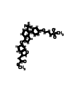 COC(=O)CC1COc2cc(OC3CCc4c3ccc(C(F)(F)F)c4-c3ccc(OCCCS(C)(=O)=O)cc3)ccc21